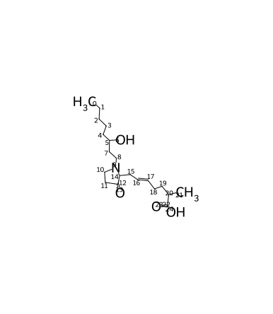 CCCCCC(O)CCN1CCC(=O)C1CC=CCCC(C)C(=O)O